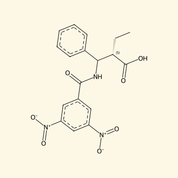 CC[C@H](C(=O)O)C(NC(=O)c1cc([N+](=O)[O-])cc([N+](=O)[O-])c1)c1ccccc1